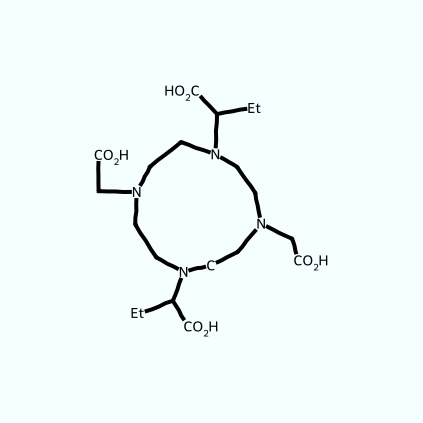 CCC(C(=O)O)N1CCN(CC(=O)O)CCN(C(CC)C(=O)O)CCN(CC(=O)O)CC1